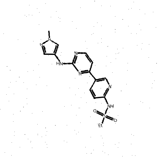 CCS(=O)(=O)Nc1ccc(-c2ccnc(Nc3cnn(C)c3)n2)cn1